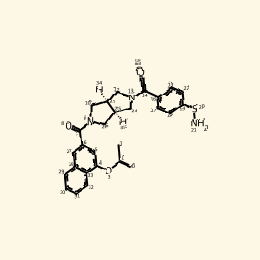 CC(C)Oc1cc(C(=O)N2C[C@H]3CN(C(=O)c4ccc(SN)cc4)C[C@H]3C2)cc2ccccc12